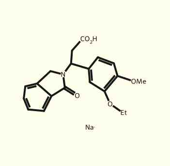 CCOc1cc(C(CC(=O)O)N2Cc3ccccc3C2=O)ccc1OC.[Na]